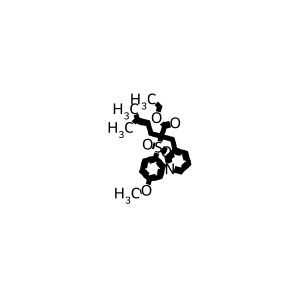 CCOC(=O)C(CC=C(C)C)(Cc1cccnc1)S(=O)(=O)c1ccc(OC)cc1